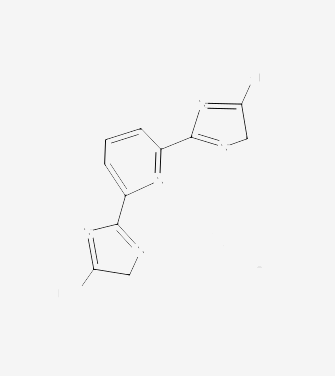 CC1=NC(c2cccc(C3=NCC(C)=N3)n2)=NC1.[Cl-].[Cl-].[Cl-].[Fe+3]